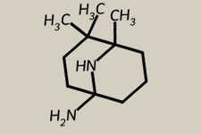 CC1(C)CCC2(N)CCCC1(C)N2